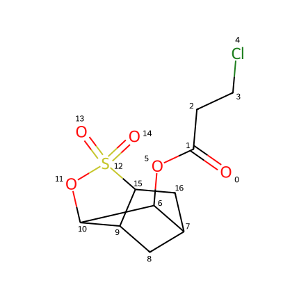 O=C(CCCl)OC1C2CC3C1OS(=O)(=O)C3C2